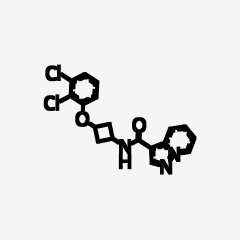 O=C(NC1CC(Oc2cccc(Cl)c2Cl)C1)c1cnn2ccccc12